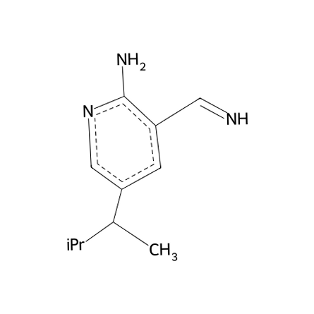 CC(C)C(C)c1cnc(N)c(C=N)c1